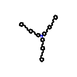 C(/C=C/c1ccc(/C=C/c2ccc(N(c3ccc(/C=C/c4ccc(/C=C/C=C/c5ccccc5)cc4)cc3)c3ccc(/C=C/c4ccc(/C=C/C=C/c5ccccc5)cc4)cc3)cc2)cc1)=C\c1ccccc1